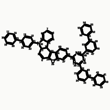 C1=CC2C(c3ccccc3N2c2ccc(-c3ccccc3)cc2)c2c1oc1cc(-c3nc(-c4cccc(-c5ccccc5)c4)nc(-c4cccc(-c5ccccc5)c4)n3)ccc21